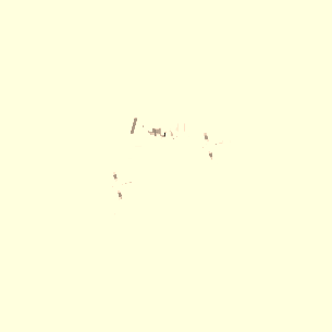 C=C.O.O.O.O.O=S(=O)([O-])[O-].O=S(=O)([O-])[O-].[Fe+2].[NH4+].[NH4+]